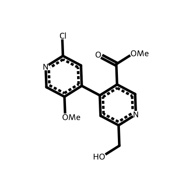 COC(=O)c1cnc(CO)cc1-c1cc(Cl)ncc1OC